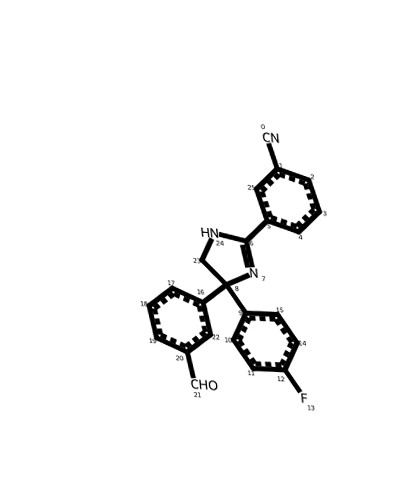 N#Cc1cccc(C2=NC(c3ccc(F)cc3)(c3cccc(C=O)c3)CN2)c1